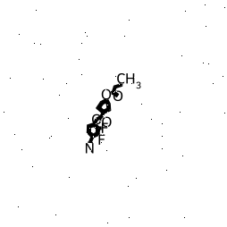 CCCC(=O)Oc1ccc(C(=O)Oc2ccc(C#N)c(F)c2F)cc1